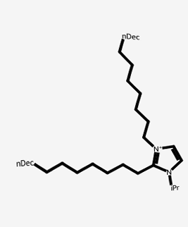 CCCCCCCCCCCCCCCCCc1n(C(C)C)cc[n+]1CCCCCCCCCCCCCCCCC